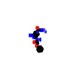 NC(=O)N1Cc2[nH]nc(NC(=O)COc3ccccc3)c2C1